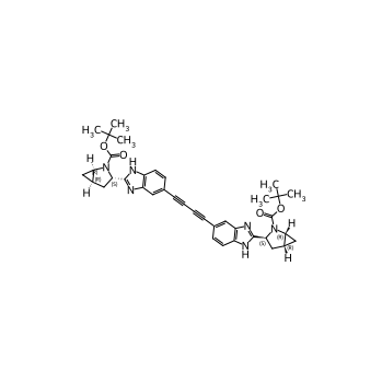 CC(C)(C)OC(=O)N1[C@@H]2C[C@@H]2C[C@H]1c1nc2cc(C#CC#Cc3ccc4[nH]c([C@@H]5C[C@H]6C[C@H]6N5C(=O)OC(C)(C)C)nc4c3)ccc2[nH]1